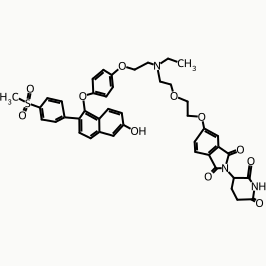 CCN(CCOCCOc1ccc2c(c1)C(=O)N(C1CCC(=O)NC1=O)C2=O)CCOc1ccc(Oc2c(-c3ccc(S(C)(=O)=O)cc3)ccc3cc(O)ccc23)cc1